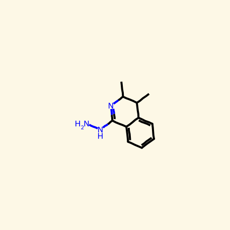 CC1N=C(NN)c2ccccc2C1C